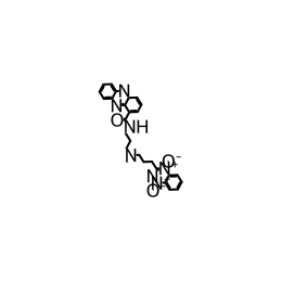 CN(CCCNC(=O)c1cccc2nc3ccccc3nc12)CCCc1n[n+]([O-])c2ccccc2[n+]1[O-]